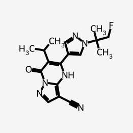 CC(C)c1c(-c2cnn(C(C)(C)CF)c2)[nH]c2c(C#N)cnn2c1=O